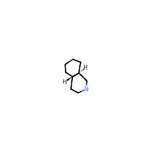 C1CC[C@H]2C[N]CC[C@@H]2C1